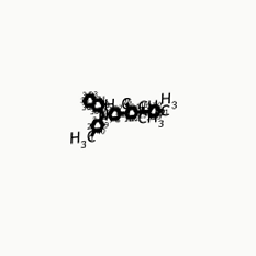 Cc1ccc(N(c2ccc(-c3ccc(C(C)(C)c4ccc(C)cc4)cc3C)cc2)c2ccc3ccccc3c2)cc1